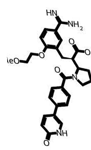 COCCOc1ccc(C(=N)N)cc1C[C@@H](C(=O)OC)C1CCCN1C(=O)c1ccc(-c2ccc(=O)[nH]c2)cc1